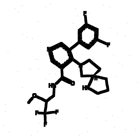 COC(CNC(=O)c1cncc(-c2cc(F)cc(F)c2)c1N1CC[C@@]2(CCCN2)C1)C(F)(F)F